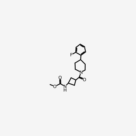 COC(=O)NC1CC(C(=O)N2CCC(c3ccccc3F)CC2)C1